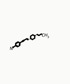 CCCC[C@H]1CC[C@H](/C=C/C#Cc2ccc(C#N)cc2)CC1